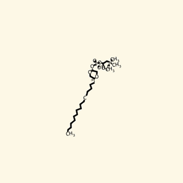 CCCCCCCCCCCCCCCCC[C@@H]1CO[C@H](OP(=O)([O-])OC(C[N+](C)(C)C)OC)CO1